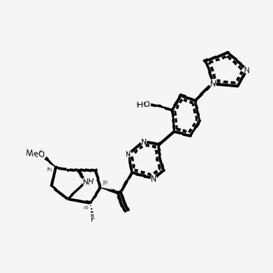 C=C(c1ncc(-c2ccc(-n3ccnc3)cc2O)nn1)[C@@H]1CC2NC(C[C@H]2OC)[C@H]1F